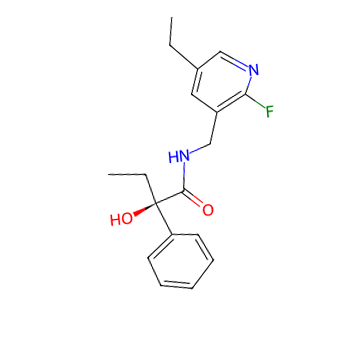 CCc1cnc(F)c(CNC(=O)[C@@](O)(CC)c2ccccc2)c1